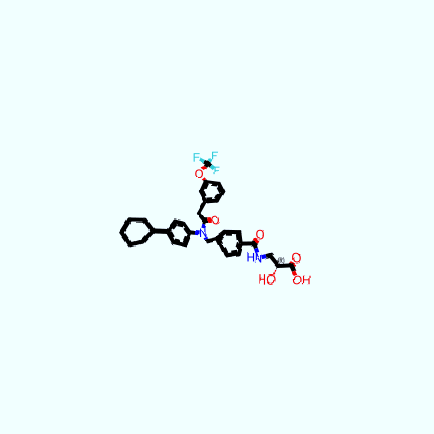 O=C(NC[C@@H](O)C(=O)O)c1ccc(CN(C(=O)Cc2cccc(OC(F)(F)F)c2)c2ccc(C3CCCCC3)cc2)cc1